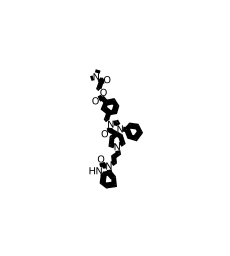 CN(C)C(=O)COC(=O)c1cccc(CN2CN(c3ccccc3)C3(CCN(CCCn4c(=O)[nH]c5ccccc54)CC3)C2=O)c1